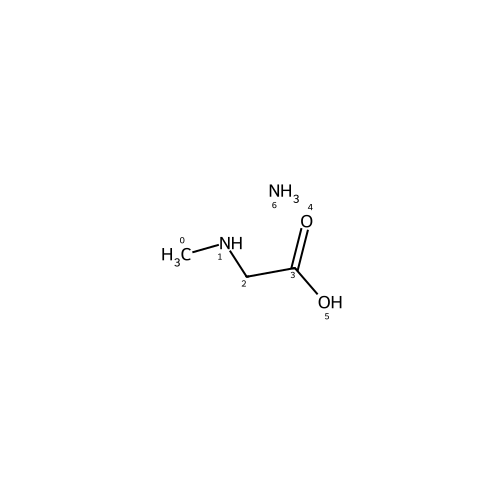 CNCC(=O)O.N